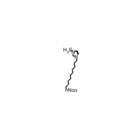 CCCCCCCCCCCCCCCCCCCN1C=CN(C)C1